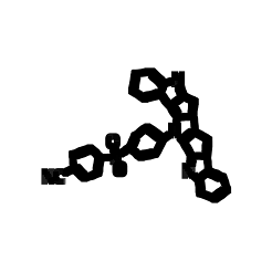 N#Cc1ccc(S(=O)(=O)c2ccc(-n3c4c5nc6ccccc6c-5cc4c4cc5nc6ccccc6c-5c43)cc2)cc1